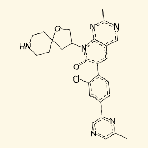 Cc1cncc(-c2ccc(-c3cc4cnc(C)nc4n(C4COC5(CCNCC5)C4)c3=O)c(Cl)c2)n1